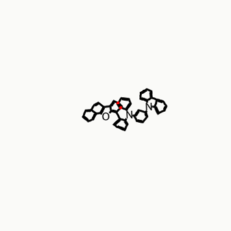 c1ccc(N(c2cccc(-n3c4ccccc4c4ccccc43)c2)c2ccccc2-c2cccc3c2oc2c4ccccc4ccc32)cc1